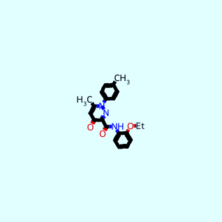 CCOc1ccccc1NC(=O)c1nn(-c2ccc(C)cc2)c(C)cc1=O